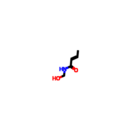 CC=CC(=O)NCO